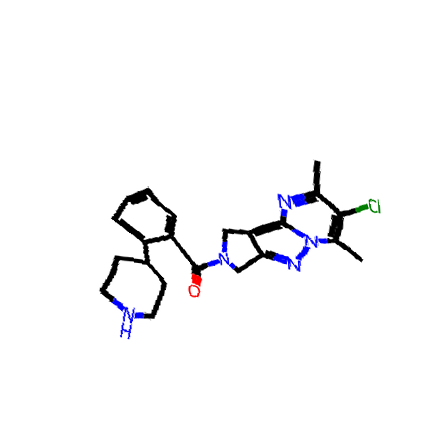 Cc1nc2c3c(nn2c(C)c1Cl)CN(C(=O)c1ccccc1C1CCNCC1)C3